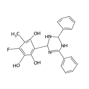 Cc1c(O)c(C2N=C(c3ccccc3)NC(c3ccccc3)N2)c(O)c(O)c1F